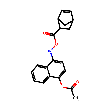 CC(=O)Oc1ccc(NOC(=O)C2CC3C=CC2C3)c2ccccc12